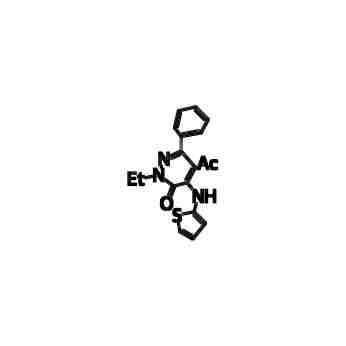 CCn1nc(-c2ccccc2)c(C(C)=O)c(Nc2cccs2)c1=O